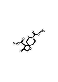 COC(=O)C1C(=O)CO[C@]12CCN(C(=O)OC(C)(C)C)[C@@H](C)C2